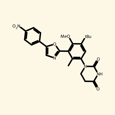 COc1c(C(C)(C)C)cc(N2CCC(=O)NC2=O)c(C)c1-c1ncc(-c2ccc([N+](=O)[O-])cc2)o1